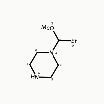 CCC(OC)N1CCNCC1